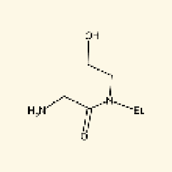 CCN(CCO)C(=O)CN